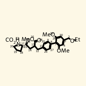 CCOCc1cc(OC)c(-c2ccc(CC(CC(=O)[C@@H]3CCCN3C(=O)O)C(=O)OC)cc2)c(OC)c1